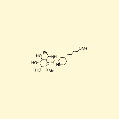 COCCCC[C@@H]1CCN[C@H](C(=O)N[C@H](C(C)C)[C@H]2O[C@H](SC)[C@H](O)[C@@H](O)[C@H]2O)C1